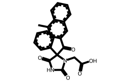 Cc1cc(C(=O)C2(c3ccccc3)C(=O)NC(=O)N2CC(=O)O)cc2ccccc12